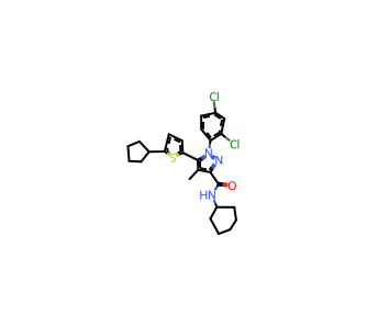 Cc1c(C(=O)NC2CCCCC2)nn(-c2ccc(Cl)cc2Cl)c1-c1ccc(C2CCCC2)s1